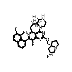 CCc1c(F)ccc2cccc(-c3nc4c5c(nc(OC[C@@]67CCCN6C[C@H](F)C7)nc5c3F)N3CCN[C@@H](CC)[C@@H]3[C@@H](C)C4)c12